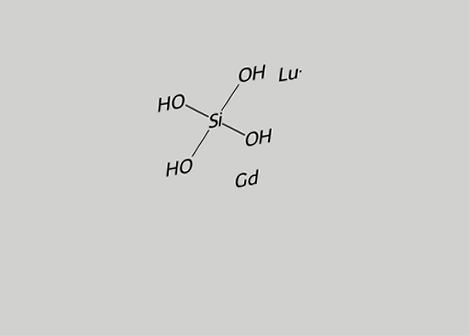 O[Si](O)(O)O.[Gd].[Lu]